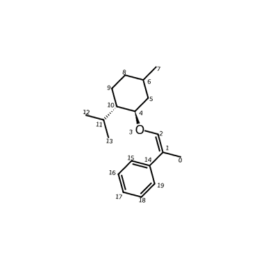 CC(=CO[C@@H]1CC(C)CC[C@H]1C(C)C)c1ccccc1